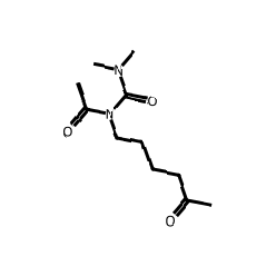 CC(=O)CCCCN(C(C)=O)C(=O)N(C)C